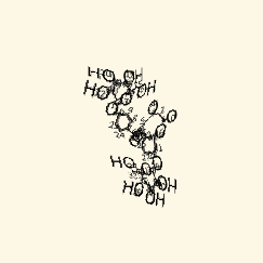 O=C1CC(=O)c2c(-c3ccc(OC4O[C@H](CO)[C@@H](O)[C@H](O)[C@H]4O)cc3)oc3cc(OC4O[C@H](CO)[C@@H](O)[C@H](O)[C@H]4O)cc(c3c2=O)O1